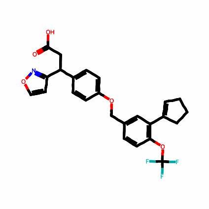 O=C(O)CC(c1ccc(OCc2ccc(OC(F)(F)F)c(C3=CCCC3)c2)cc1)c1ccon1